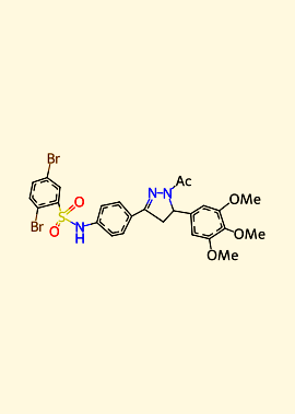 COc1cc(C2CC(c3ccc(NS(=O)(=O)c4cc(Br)ccc4Br)cc3)=NN2C(C)=O)cc(OC)c1OC